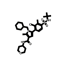 Cc1c(S(=O)(=O)NC(C)(C)C)ccc(-c2cc(C(=O)NC3CCOCC3)c(C)n2CC2CCCCC2)c1Cl